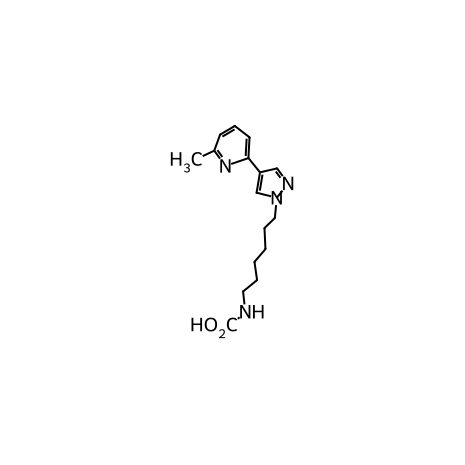 Cc1cccc(-c2cnn(CCCCCCNC(=O)O)c2)n1